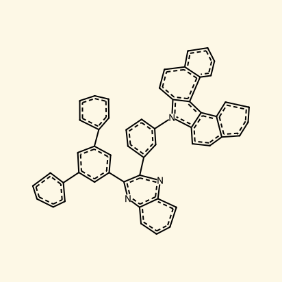 c1ccc(-c2cc(-c3ccccc3)cc(-c3nc4ccccc4nc3-c3cccc(-n4c5ccc6ccccc6c5c5c6ccccc6ccc54)c3)c2)cc1